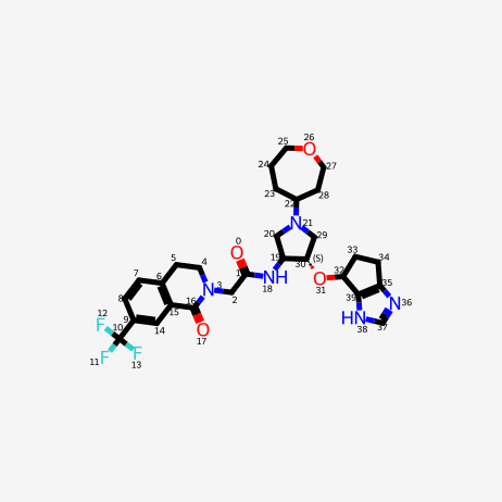 O=C(CN1CCc2ccc(C(F)(F)F)cc2C1=O)NC1CN(C2CCCOCC2)C[C@@H]1OC1CCc2nc[nH]c21